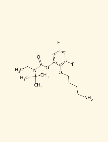 CCN(C(=O)Oc1cc(F)cc(F)c1OCCCCN)C(C)(C)C